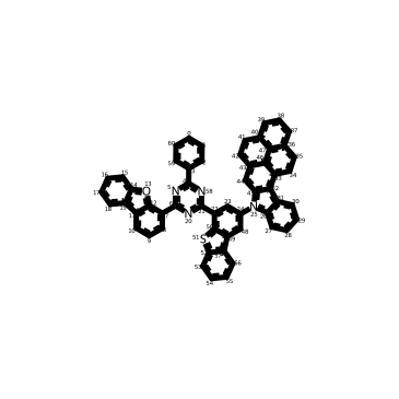 c1ccc(-c2nc(-c3cccc4c3oc3ccccc34)nc(-c3cc(-n4c5ccccc5c5c6ccc7cccc8ccc(cc54)c6c87)cc4c3sc3ccccc34)n2)cc1